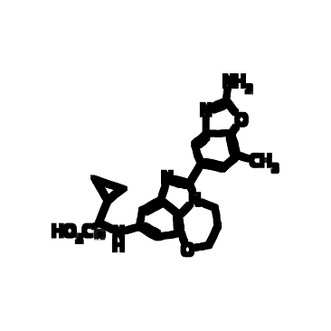 Cc1cc(-c2nc3cc(N[C@H](C(=O)O)C4CC4)cc4c3n2CCCO4)cc2nc(N)oc12